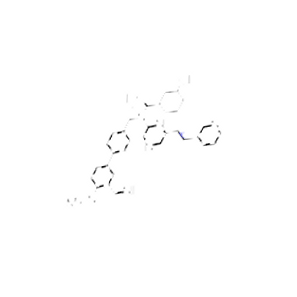 C=C(C1CCCC(C)C1)N(Cc1ccc(-c2ccc(NC)c(C=N)c2)cc1)c1cncc(/C=C/c2cccnc2)n1